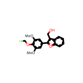 COc1cc(-c2oc3ccccc3c2CO)cc(OC)c1OCF